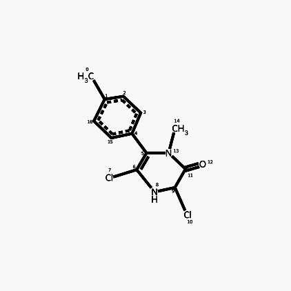 Cc1ccc(C2=C(Cl)NC(Cl)C(=O)N2C)cc1